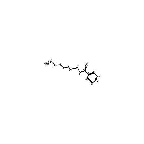 CC(C)(C)OOCCCCOOC(=O)c1ccccc1